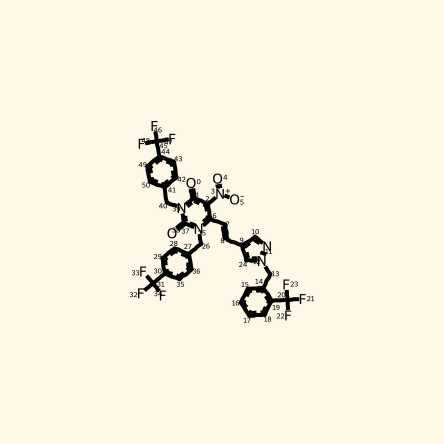 O=c1c([N+](=O)[O-])c(C=Cc2cnn(Cc3ccccc3C(F)(F)F)c2)n(Cc2ccc(C(F)(F)F)cc2)c(=O)n1Cc1ccc(C(F)(F)F)cc1